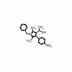 Cc1c(-c2ccc([N+](=O)[O-])cc2)c(C(C)O)c(C)n1Cc1ccccc1